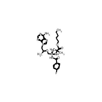 CCCCCOC(=O)C(C)(C)NP(=O)(COC(C)Cn1cnc2c(N)ncnc21)NC(=O)c1ccc(F)cc1